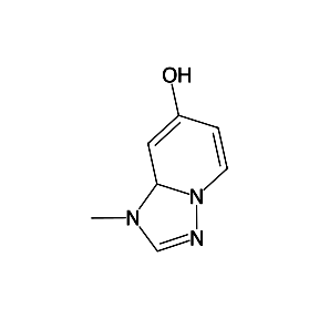 CN1C=NN2C=CC(O)=CC12